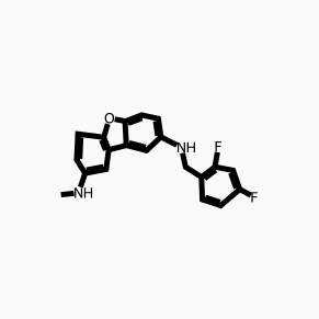 CNc1ccc2oc3ccc(NCc4ccc(F)cc4F)cc3c2c1